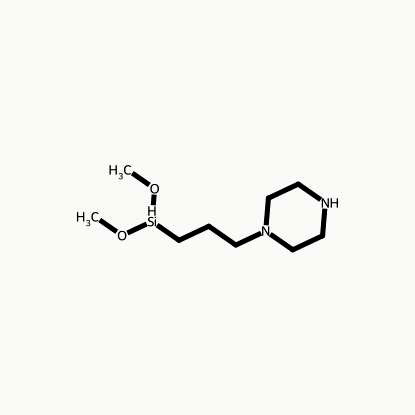 CO[SiH](CCCN1CCNCC1)OC